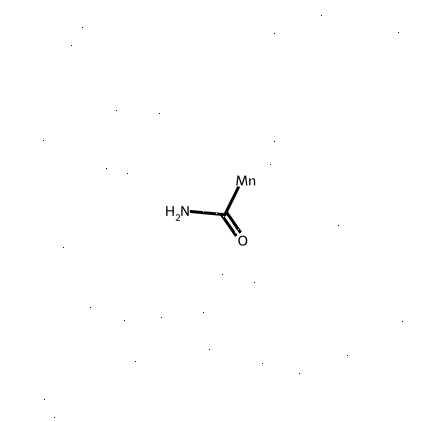 N[C](=O)[Mn]